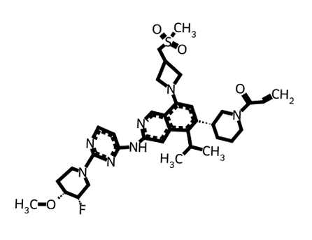 C=CC(=O)N1CCC[C@H](c2cc(N3CC(CS(C)(=O)=O)C3)c3cnc(Nc4ccnc(N5CC[C@@H](OC)[C@@H](F)C5)n4)cc3c2C(C)C)C1